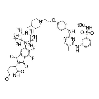 [2H]C1([2H])N(CC2CCN(CCOc3ccc(Nc4ncc(C)c(Nc5cccc(S(=O)(=O)NC(C)(C)C)c5)n4)cc3)CC2)C([2H])([2H])C([2H])([2H])N(c2cc3c(c(F)c2F)C(=O)N(C2CCC(=O)NC2=O)C3=O)C1([2H])[2H]